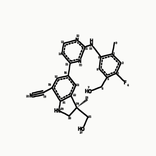 Cc1cc(F)c(CO)cc1Nc1nccc(-c2cc(C#N)c3c(c2)[C@@](C)(CO)CN3)n1